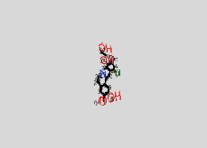 COc1cc2c(cc1O)C1Cc3c(Cl)cc(OC)c(OCCO)c3CN1CC2